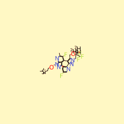 [2H]C([2H])([2H])C1(C(F)(F)F)Cn2nc(-c3ccc(F)cn3)c(-c3c(F)c(C)nc4c3c(C)nn4COCC[Si](C)(C)C)c2CO1